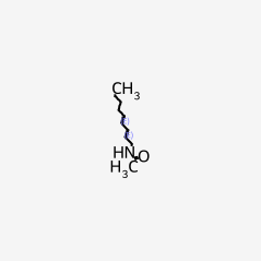 CCCC/C=C/C=C/CNC(C)=O